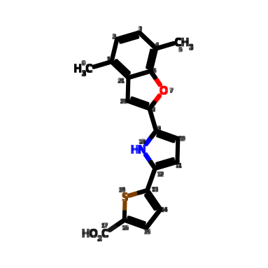 Cc1ccc(C)c2oc(-c3ccc(-c4ccc(C(=O)O)s4)[nH]3)cc12